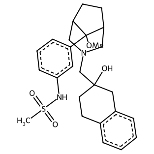 COC1(c2cccc(NS(C)(=O)=O)c2)C2CCC1CN(CC1(O)CCc3ccccc3C1)C2